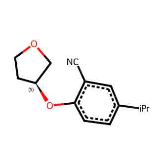 CC(C)c1ccc(O[C@H]2CCOC2)c(C#N)c1